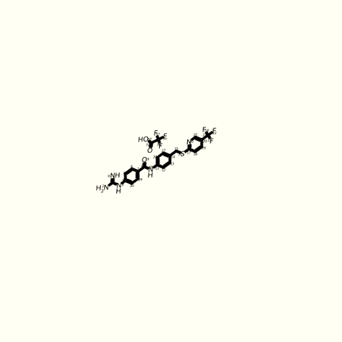 N=C(N)Nc1ccc(C(=O)Nc2ccc(CSc3ccc(C(F)(F)F)cn3)cc2)cc1.O=C(O)C(F)(F)F